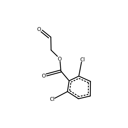 O=CCOC(=O)c1c(Cl)cccc1Cl